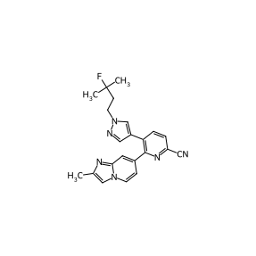 Cc1cn2ccc(-c3nc(C#N)ccc3-c3cnn(CCC(C)(C)F)c3)cc2n1